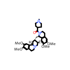 CCC1CN2CCc3cc(OC)c(OC)cc3[C@@H]2C[C@@H]1C[C@@H]1c2cc(OC)c(OC)cc2CCN1C(=O)C1CCN(C)CC1